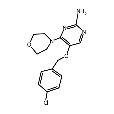 Nc1ncc(OCc2ccc(Cl)cc2)c(N2CCOCC2)n1